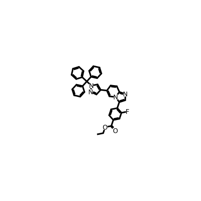 CCOC(=O)c1ccc(-c2cnc3ccc(-c4cnn(C(c5ccccc5)(c5ccccc5)c5ccccc5)c4)cn23)c(F)c1